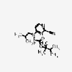 CC(C)CN(NC(=O)OC(C)(C)C(C)C)c1ccnc(C#N)n1